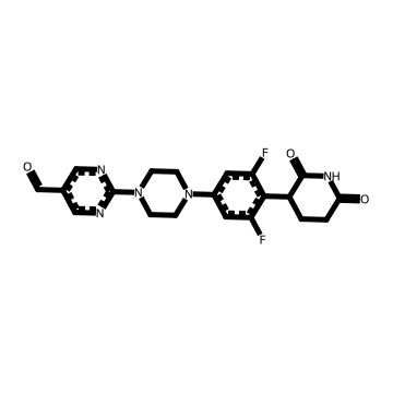 O=Cc1cnc(N2CCN(c3cc(F)c(C4CCC(=O)NC4=O)c(F)c3)CC2)nc1